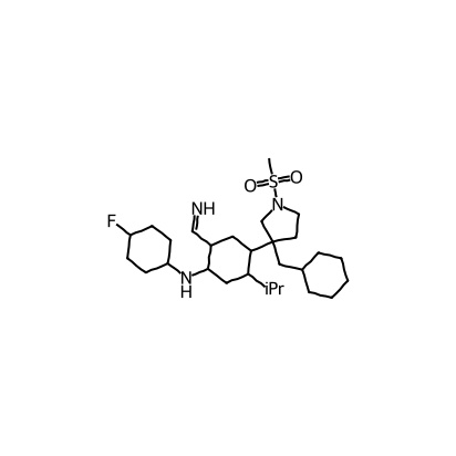 CC(C)C1CC(NC2CCC(F)CC2)C(C=N)CC1C1(CC2CCCCC2)CCN(S(C)(=O)=O)C1